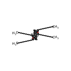 CCCCCCCCCCCCCCCCCCc1ccc(C2(c3ccc(CCCCCCCCCCCCCCCCCC)cc3)C3=C(SC4(Br)C=C5C6=C(SC5(Br)C=C34)c3sccc3C6(c3ccc(CCCCCCCCCCCCCCCCCC)cc3)c3ccc(CCCCCCCCCCCCCCCCCC)cc3)c3sccc32)cc1